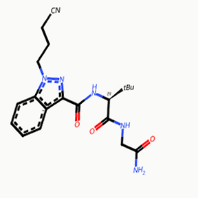 CC(C)(C)[C@H](NC(=O)c1nn(CCCC#N)c2ccccc12)C(=O)NCC(N)=O